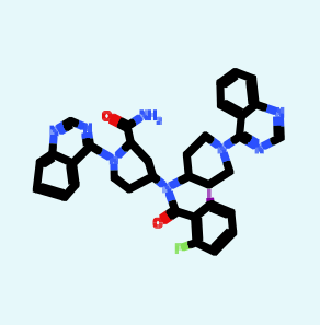 NC(=O)C1CC(N(C(=O)c2c(F)cccc2I)C2CCN(c3ncnc4ccccc34)CC2)CCN1c1ncnc2ccccc12